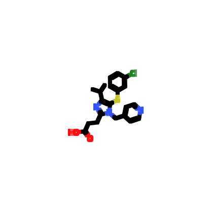 CC(C)c1nc(CCC(=O)O)n(Cc2ccncc2)c1Sc1cccc(Cl)c1